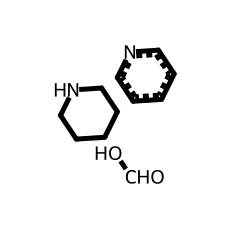 C1CCNCC1.O=CO.c1ccncc1